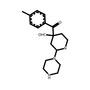 Cc1ccc(C(=O)C2(C=O)CC[N]C(N3CCNCC3)C2)cc1